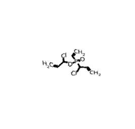 C=CC(Cl)OP(=O)(C=C)C(Cl)C=C